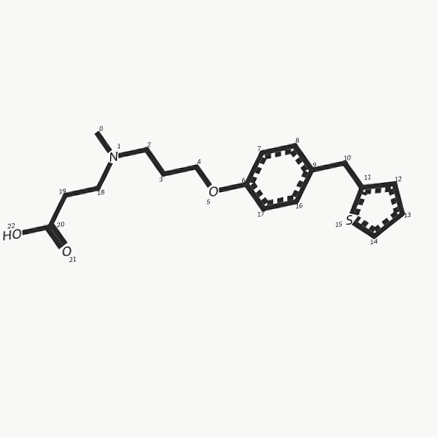 CN(CCCOc1ccc(Cc2cccs2)cc1)CCC(=O)O